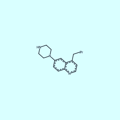 CC(C)Cc1ccnc2ccc(N3CCNCC3)cc12